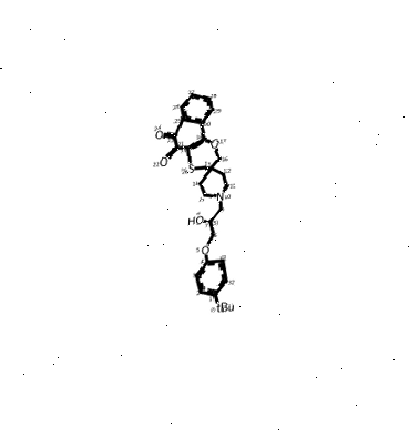 CC(C)(C)c1ccc(OC[C@@H](O)CN2CCC3(CC2)COC2=C(S3)C(=O)C(=O)c3ccccc32)cc1